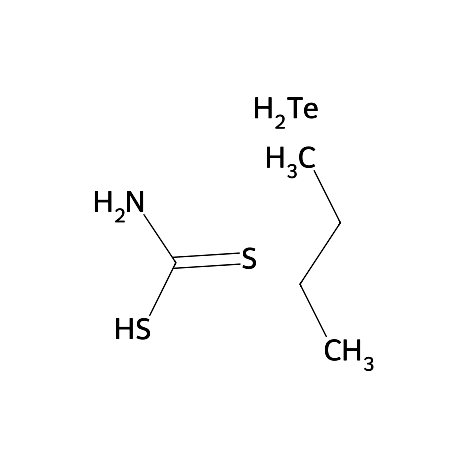 CCCC.NC(=S)S.[TeH2]